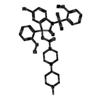 CCOc1ccccc1C1(OC(=O)N2CCN(C3CCN(C)CC3)CC2)C(=O)N(S(=O)(=O)c2ccccc2OC)c2ccc(C(C)C)cc21